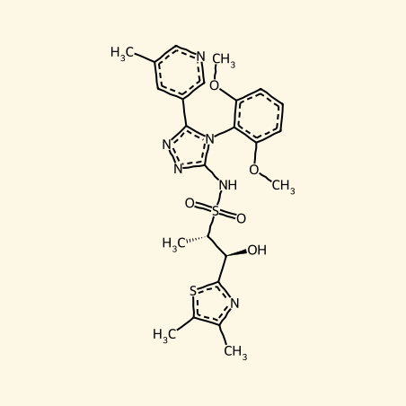 COc1cccc(OC)c1-n1c(NS(=O)(=O)[C@@H](C)[C@@H](O)c2nc(C)c(C)s2)nnc1-c1cncc(C)c1